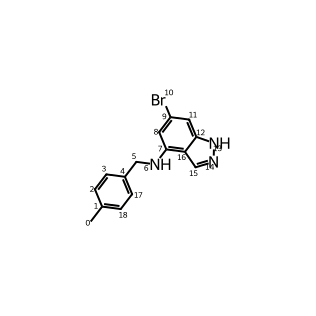 Cc1ccc(CNc2cc(Br)cc3[nH]ncc23)cc1